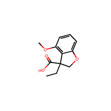 CCC1(C(=O)O)COc2cccc(OC)c21